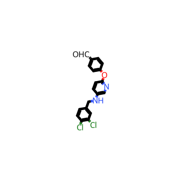 O=Cc1ccc(Oc2ccc(NCc3ccc(Cl)c(Cl)c3)cn2)cc1